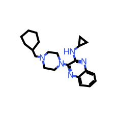 c1ccc2nc(N3CCN(CC4CCCCC4)CC3)c(NC3CC3)nc2c1